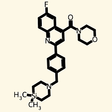 C[Si]1(C)CCN(Cc2ccc(-c3cc(C(=O)N4CCOCC4)c4cc(F)ccc4n3)cc2)CC1